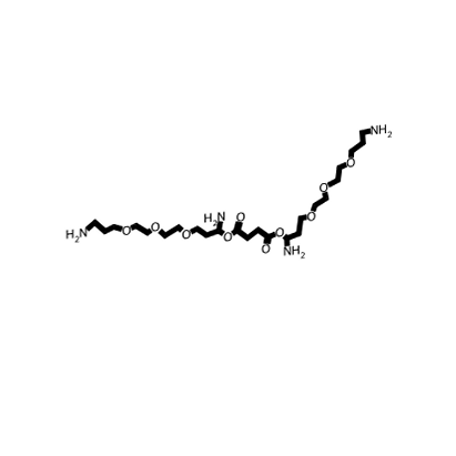 NCCCOCCOCCOCCC(N)OC(=O)CCC(=O)OC(N)CCOCCOCCOCCCN